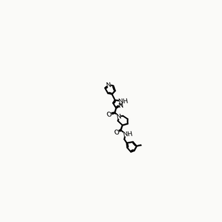 Cc1cccc(CNC(=O)C2CCCN(C(=O)c3cc(-c4ccncc4)[nH]n3)C2)c1